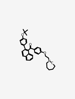 CC(C)(C)Oc1ccc(-c2ccc3ccccc3c2C(=O)c2ccc(OCCN3CCCCCC3)cc2)cc1